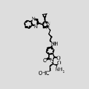 NC(=O)C(CCC=O)N1C(=O)c2ccc(NCCCCn3cc(-c4cnc5ccccc5n4)c(C4CC4)n3)cc2C1=O